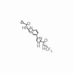 O=C(NCC(F)(F)F)c1nc(-c2ccc3nc(NC(=O)C4CC4)cn3c2)c[nH]1